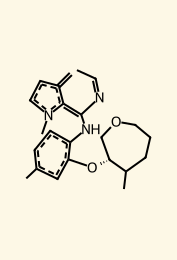 C=c1ccn(C)/c1=C(/N=C\C)Nc1ccc(C)cc1O[C@@H]1COCCCC1C